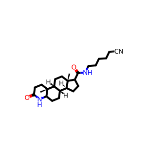 C[C@]12CCC(=O)NC1CC[C@@H]1[C@H]2CC[C@]2(C)C(C(=O)NCCCCCC#N)CC[C@@H]12